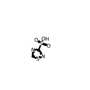 O=S(=O)(O)c1ncsn1